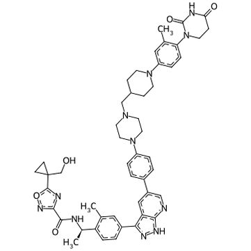 Cc1cc(-c2n[nH]c3ncc(-c4ccc(N5CCN(CC6CCN(c7ccc(N8CCC(=O)NC8=O)c(C)c7)CC6)CC5)cc4)cc23)ccc1[C@@H](C)NC(=O)c1noc(C2(CO)CC2)n1